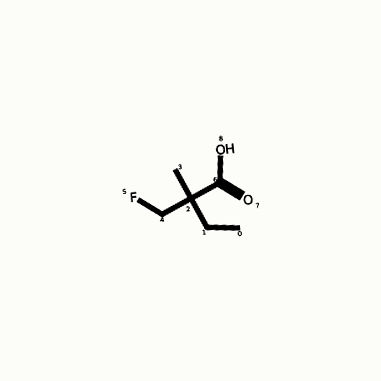 CCC(C)(CF)C(=O)O